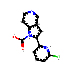 O=C(O)n1c(-c2cccc(Cl)n2)cc2cnccc21